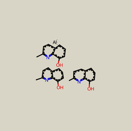 Cc1ccc2cccc(O)c2n1.Cc1ccc2cccc(O)c2n1.Cc1ccc2cccc(O)c2n1.[Al]